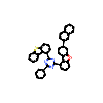 c1ccc(-c2nc(-c3cccc4oc5cc(-c6ccc7ccccc7c6)ccc5c34)nc(-c3cccc4sc5ccccc5c34)n2)cc1